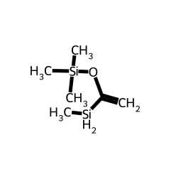 C=C(O[Si](C)(C)C)[SiH2]C